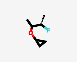 CC(OC1CC1)[C@H](C)F